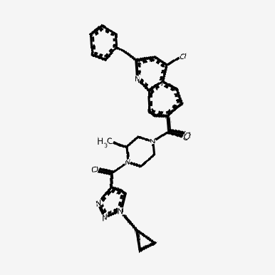 CC1CN(C(=O)c2ccc3c(Cl)cc(-c4ccccc4)nc3c2)CCN1C(=O)c1cn(C2CC2)nn1